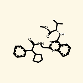 COC(=O)[C@@H](Nc1nc(CNC(=O)C(c2ccccc2)C2CCCC2)nc2ccccc12)C(C)C